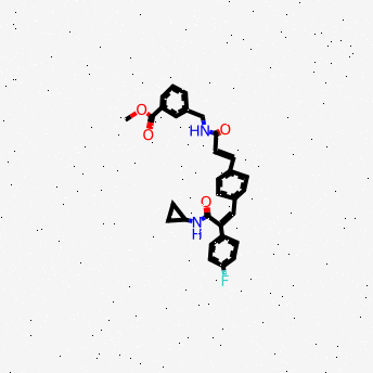 COC(=O)c1cccc(CNC(=O)C=Cc2ccc(C=C(C(=O)NC3CC3)c3ccc(F)cc3)cc2)c1